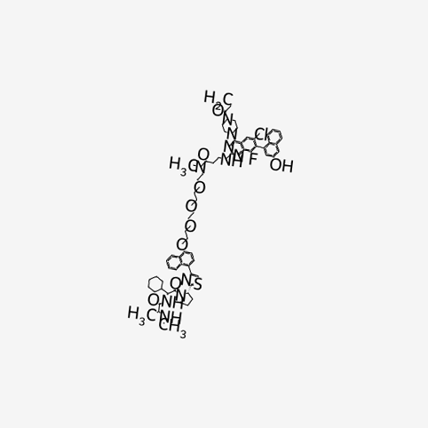 C=CC(=O)N1CCN(c2nc(NCCC(=O)N(C)CCOCCOCCOCCOc3ccc(-c4csc([C@@H]5CCCN5C(=O)[C@@H](NC(=O)[C@H](C)NC)C5CCCCC5)n4)c4ccccc34)nc3c(F)c(-c4cc(O)cc5ccccc45)c(Cl)cc23)CC1